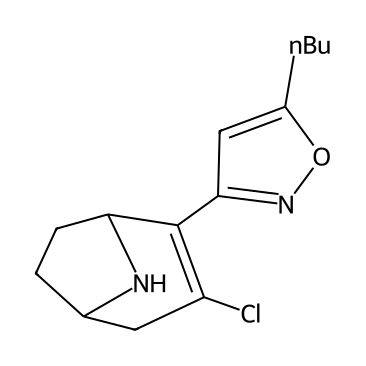 CCCCc1cc(C2=C(Cl)CC3CCC2N3)no1